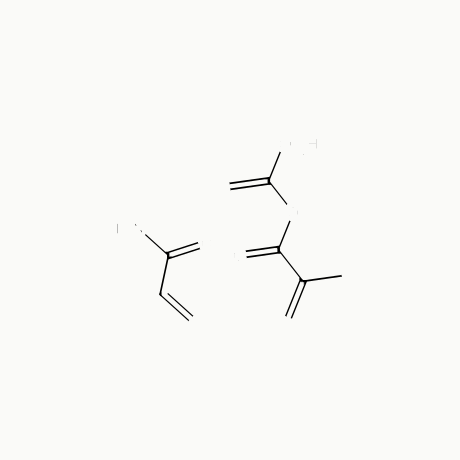 C=C(C)C(=O)OC(=C)C(=O)O.C=CC(N)=O